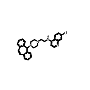 Clc1ccc2c(NCCN3CCN(C4c5ccccc5C=Cc5ccccc54)CC3)ccnc2c1